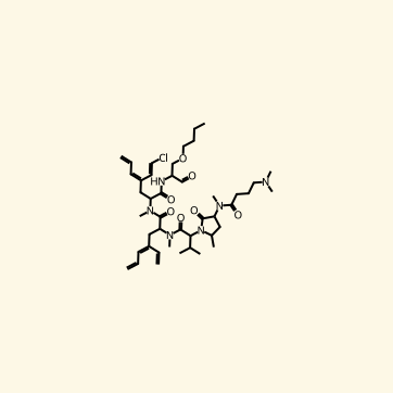 C=C/C=C(\C=C)CC(C(=O)N(C)C(CC(=C/C=C)/C=C/Cl)C(=O)NC(C=O)COCCCC)N(C)C(=O)C(C(C)C)N1C(=O)C(N(C)C(=O)CCCN(C)C)CC1C